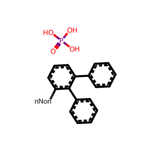 CCCCCCCCCc1cccc(-c2ccccc2)c1-c1ccccc1.O=P(O)(O)O